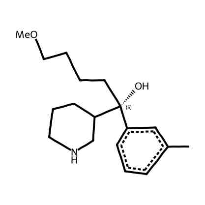 COCCCC[C@@](O)(c1cccc(C)c1)C1CCCNC1